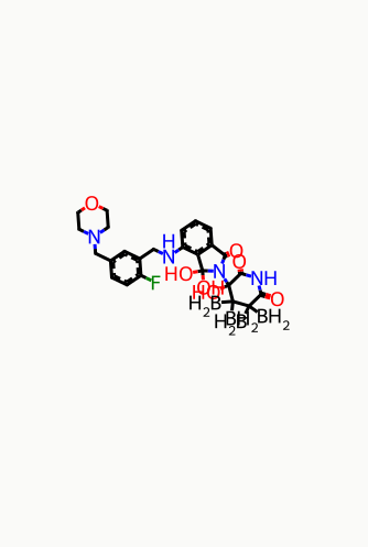 BC1(B)C(=O)NC(=O)C(O)(N2C(=O)c3cccc(NCc4cc(CN5CCOCC5)ccc4F)c3C2(O)O)C1(B)B